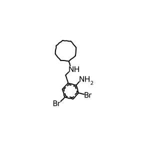 Nc1c(Br)cc(Br)cc1CNC1CCCCCCC1